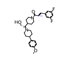 COc1ccc(C2CCN([C@H](CO)C3CCN(C(=O)/C=C/c4cc(F)cc(F)c4)CC3)CC2)cc1